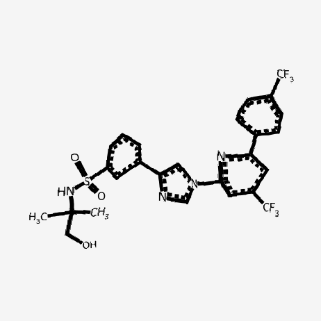 CC(C)(CO)NS(=O)(=O)c1cccc(-c2cn(-c3cc(C(F)(F)F)cc(-c4ccc(C(F)(F)F)cc4)n3)cn2)c1